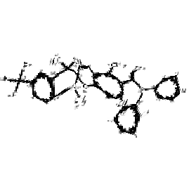 Cc1cc2c(c(C)c1C(=O)P(c1ccccc1)c1ccccc1)C=CC1(O2)N(C)c2ccc(C(F)(F)F)cc2C1(C)C